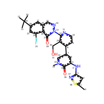 Cc1cc(Nc2cc(-c3ccnc(-n4ncc5cc(C(C)(C)C)cc(F)c5c4=O)c3CO)cn(C)c2=O)ns1